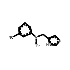 CC(C)N(Cc1cnc[nH]1)c1cccc(C#N)c1